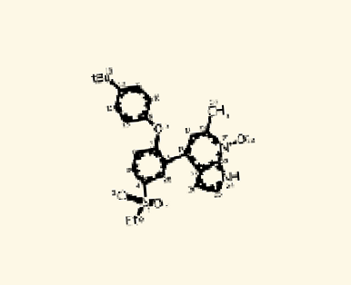 CCS(=O)(=O)c1ccc(Oc2ccc(C(C)(C)C)cc2)c(-c2cc(C)[n+]([O-])c3[nH]ccc23)c1